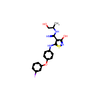 CC(CO)NC(=N)c1c(O)nsc1Nc1ccc(Oc2cccc(I)c2)cc1